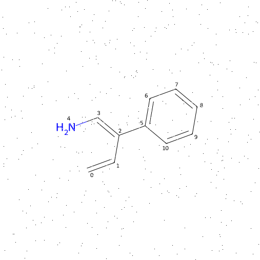 C=C/C(=C\N)c1ccccc1